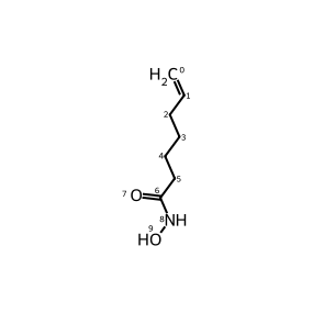 C=CCCCCC(=O)NO